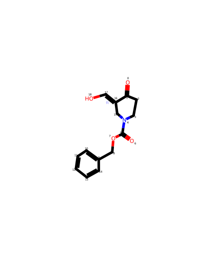 O=C1CCN(C(=O)OCc2ccccc2)C/C1=C\O